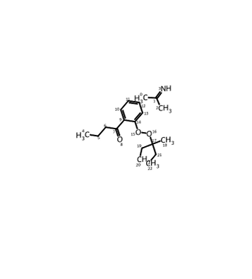 CC(C)=N.CCCC(=O)c1ccccc1OOC(C)(CC)CC